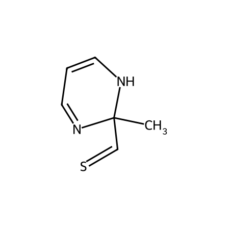 CC1(C=S)N=CC=CN1